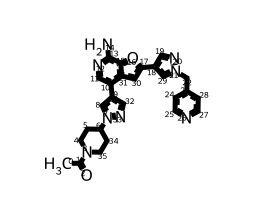 CC(=O)N1CCC(n2cc(-c3cnc(N)c4oc(-c5cnn(Cc6ccncc6)c5)cc34)cn2)CC1